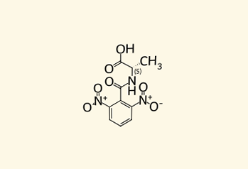 C[C@H](NC(=O)c1c([N+](=O)[O-])cccc1[N+](=O)[O-])C(=O)O